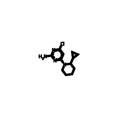 Nc1nc(Cl)cc(N2CCCCC2C2CC2)n1